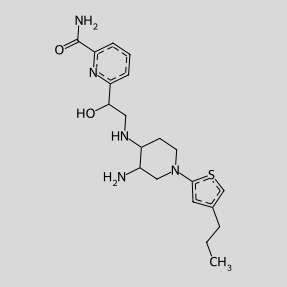 CCCc1csc(N2CCC(NCC(O)c3cccc(C(N)=O)n3)C(N)C2)c1